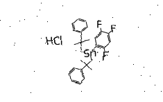 CC(C)([CH2][Sn]([CH2]C(C)(C)c1ccccc1)[c]1cc(F)c(F)cc1F)c1ccccc1.Cl